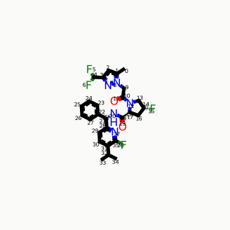 Cc1cc(C(F)F)nn1CC(=O)N1C[C@H](F)C[C@H]1C(=O)N[C@@H](c1ccccc1)c1ccc(C(C)C)c(F)n1